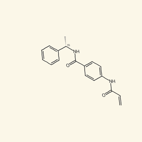 C=CC(=O)Nc1ccc(C(=O)N[C@@H](C)c2ccccc2)cc1